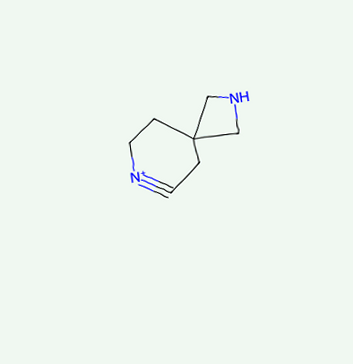 C1#[N+]CCC2(C1)CNC2